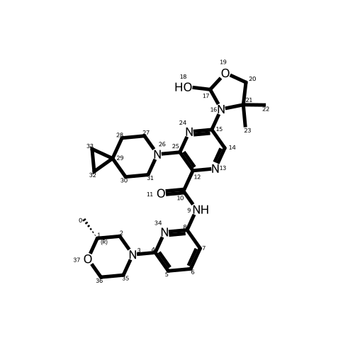 C[C@@H]1CN(c2cccc(NC(=O)c3ncc(N4C(O)OCC4(C)C)nc3N3CCC4(CC3)CC4)n2)CCO1